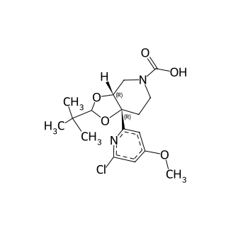 COc1cc(Cl)nc([C@]23CCN(C(=O)O)C[C@H]2OC(C(C)(C)C)O3)c1